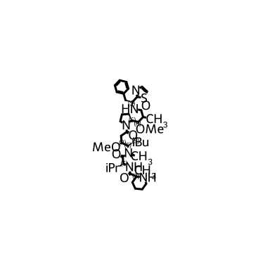 CC[C@H](C)[C@@H]([C@@H](CC(=O)N1CCC[C@H]1[C@H](OC)C(C)C(=O)N[C@@H](Cc1ccccc1)c1nccs1)OC)N(C)C(=O)[C@@H](NC(=O)[C@]1(C)CCCCN1)C(C)C